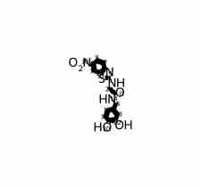 O=C(CNc1nc2ccc([N+](=O)[O-])cc2s1)NCc1ccc(O)c(O)c1